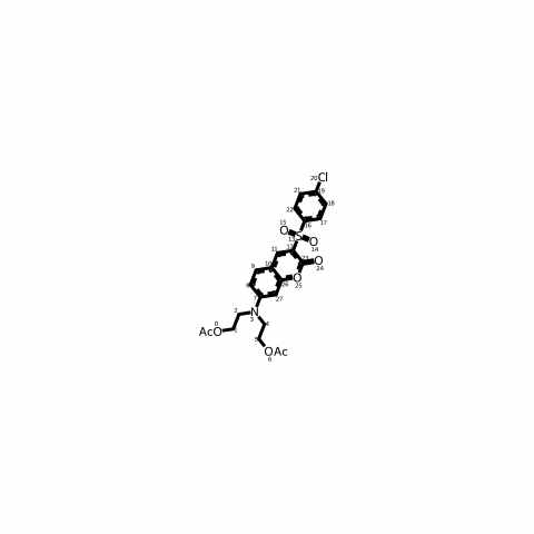 CC(=O)OCCN(CCOC(C)=O)c1ccc2cc(S(=O)(=O)c3ccc(Cl)cc3)c(=O)oc2c1